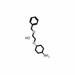 Cl.N[C@H]1CC[C@H](OCCOCc2ccccc2)CC1